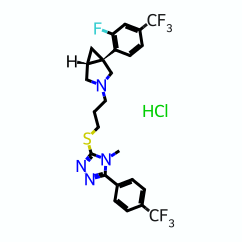 Cl.Cn1c(SCCCN2C[C@@H]3C[C@]3(c3ccc(C(F)(F)F)cc3F)C2)nnc1-c1ccc(C(F)(F)F)cc1